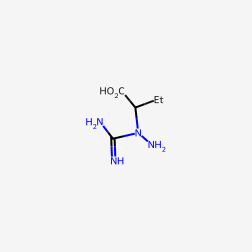 CCC(C(=O)O)N(N)C(=N)N